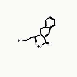 O=C(O)C1=Cc2ccccc2CN1C(=O)CCS